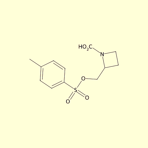 Cc1ccc(S(=O)(=O)OCC2CCN2C(=O)O)cc1